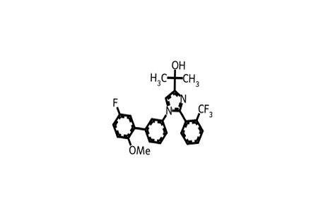 COc1ccc(F)cc1-c1cccc(-n2cc(C(C)(C)O)nc2-c2ccccc2C(F)(F)F)c1